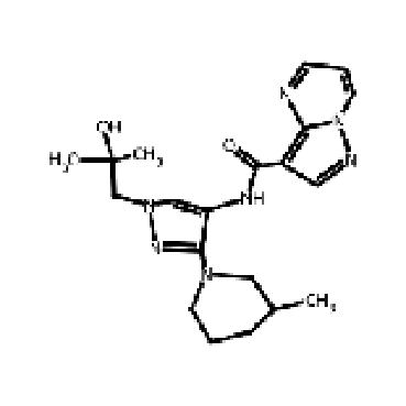 CC1CCCN(c2nn(CC(C)(C)O)cc2NC(=O)c2cnn3cccnc23)C1